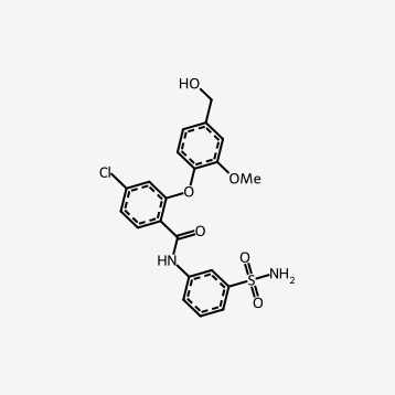 COc1cc(CO)ccc1Oc1cc(Cl)ccc1C(=O)Nc1cccc(S(N)(=O)=O)c1